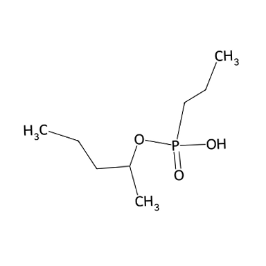 CCCC(C)OP(=O)(O)CCC